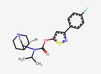 CC(C)N(C(=O)Oc1cc(-c2ccc(F)cc2)ns1)[C@@H]1CN2CCC1CC2